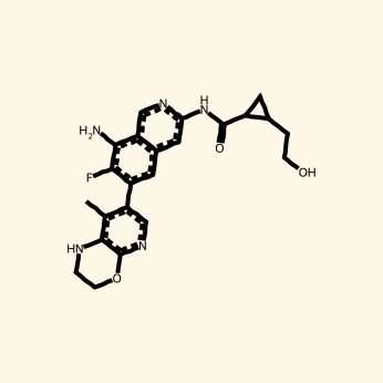 Cc1c(-c2cc3cc(NC(=O)C4CC4CCO)ncc3c(N)c2F)cnc2c1NCCO2